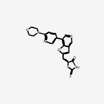 O=C1NC(=S)S/C1=C/c1cc2cncc(-c3ccc(N4CCOCC4)nc3)c2o1